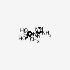 C=C1[C@H](n2cnc3c(N)ncnc32)C[C@H](O)[C@]1(F)CO